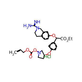 C=CCOC(=O)ON1CC[C@H](Oc2ccc(C(Oc3ccc4c(c3)CN(C(=N)N)CC4)C(=O)OCC)cc2)C1.Cl